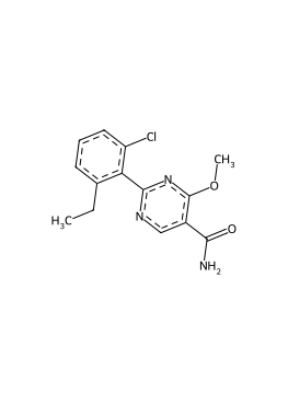 CCc1cccc(Cl)c1-c1ncc(C(N)=O)c(OC)n1